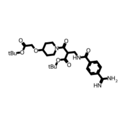 CC(C)(C)OC(=O)COC1CCN(C(=O)C(CNC(=O)c2ccc(C(=N)N)cc2)C(=O)OC(C)(C)C)CC1